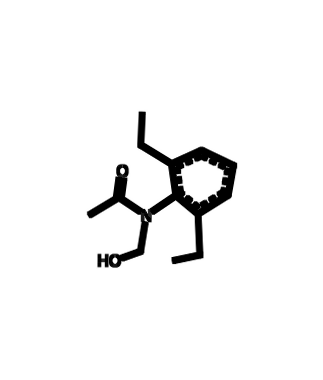 CCc1cccc(CC)c1N(CO)C(C)=O